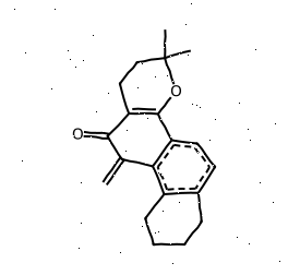 C=C1C(=O)C2=C(OC(C)(C)CC2)c2ccc3c(c21)CCCC3